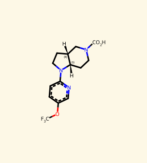 O=C(O)N1CC[C@H]2[C@H](CCN2c2ccc(OC(F)(F)F)cn2)C1